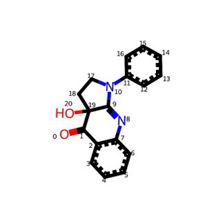 O=C1c2ccccc2N=C2N(c3ccccc3)CCC12O